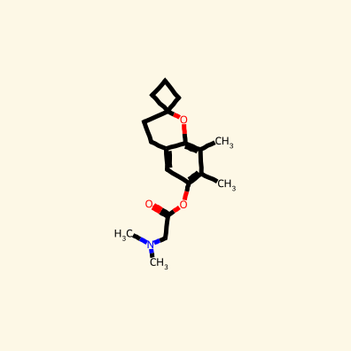 Cc1c(OC(=O)CN(C)C)cc2c(c1C)OC1(CCC1)CC2